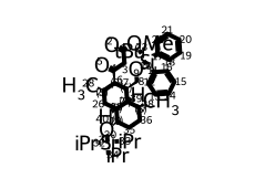 COC(=O)CC(=O)[C@H]1[C@@H](CO[Si](c2ccccc2)(c2ccccc2)C(C)(C)C)[C@H]2[C@@H](C[C@@H]1C)[C@@H](O[Si](C(C)C)(C(C)C)C(C)C)CC[C@@H]2C